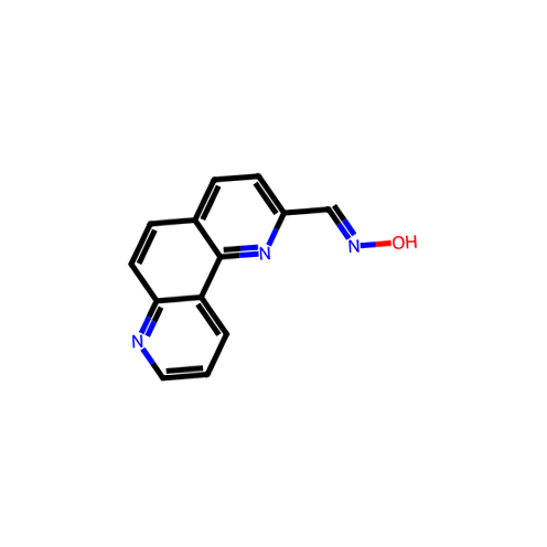 ON=Cc1ccc2ccc3ncccc3c2n1